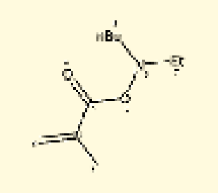 C=C(C)C(=O)ON(CC)CCCC